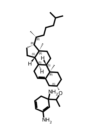 CC(C)CCC[C@@H](C)[C@H]1CC[C@H]2[C@@H]3CC=C4C[C@@H](OC(C)C5(N)C=C(N)C=CC5)CC[C@]4(C)[C@H]3CC[C@]12C